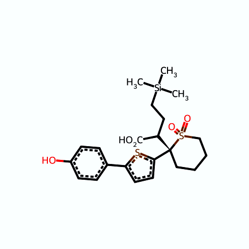 C[Si](C)(C)CCC(C(=O)O)[C@]1(c2ccc(-c3ccc(O)cc3)s2)CCCCS1(=O)=O